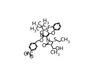 CCS[C@@H]1[C@@H]([C@@H](C)O)C(=O)N1C(C(=O)OCc1ccc([N+](=O)[O-])cc1)=C(Oc1ccccc1F)SC(=O)C(C)(C)C